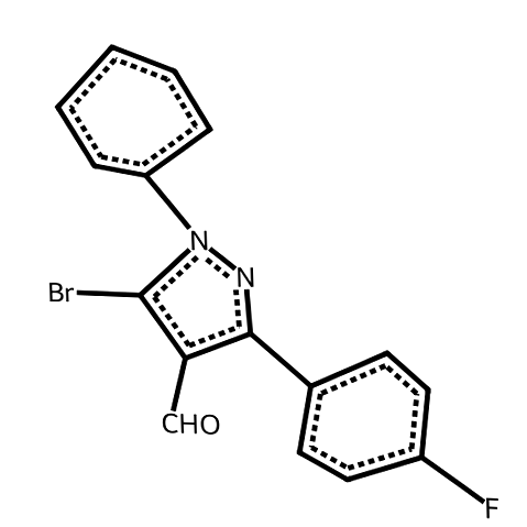 O=Cc1c(-c2ccc(F)cc2)nn(-c2ccccc2)c1Br